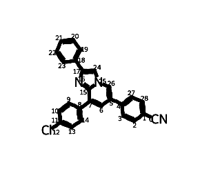 N#Cc1ccc(-c2cc(-c3ccc(Cl)cc3)c3nc(-c4ccccc4)cn3c2)cc1